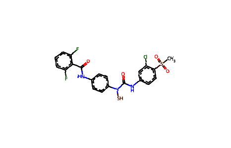 CS(=O)(=O)c1ccc(NC(=O)N(S)c2ccc(NC(=O)c3c(F)cccc3F)cc2)cc1Cl